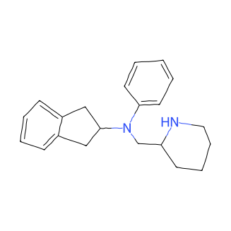 c1ccc(N(CC2CCCCN2)C2Cc3ccccc3C2)cc1